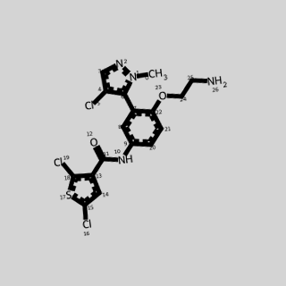 Cn1ncc(Cl)c1-c1cc(NC(=O)c2cc(Cl)sc2Cl)ccc1OCCN